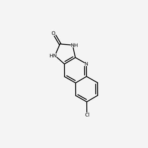 O=c1[nH]c2cc3cc(Cl)ccc3nc2[nH]1